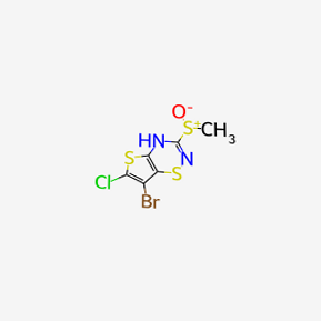 C[S+]([O-])C1=NSc2c(sc(Cl)c2Br)N1